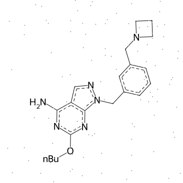 CCCCOc1nc(N)c2cnn(Cc3cccc(CN4CCC4)c3)c2n1